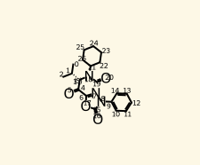 CC(C)[C@@H](C(=O)c1nn(-c2ccccc2)c(=O)o1)N(C=O)C1CCCCC1